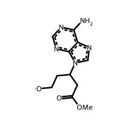 COC(=O)CC(CC[O])n1cnc2c(N)ncnc21